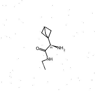 CCNC(=O)[C@H](N)C12CC(C1)C2